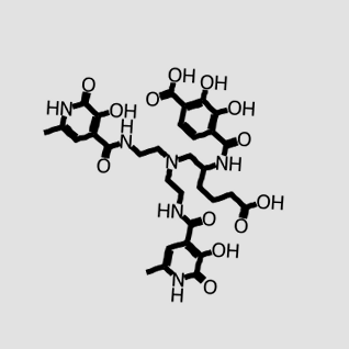 Cc1cc(C(=O)NCCN(CCNC(=O)c2cc(C)[nH]c(=O)c2O)CC(CCCC(=O)O)NC(=O)c2ccc(C(=O)O)c(O)c2O)c(O)c(=O)[nH]1